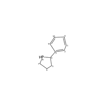 c1ccc(C2CCCP2)cc1